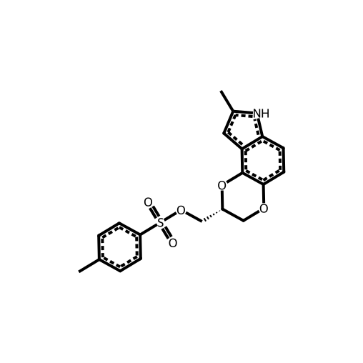 Cc1ccc(S(=O)(=O)OC[C@H]2COc3ccc4[nH]c(C)cc4c3O2)cc1